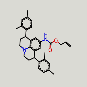 C=CCOC(=O)Nc1cc2c3c(c1)C(c1ccc(C)cc1C)CCN3CCC2c1ccc(C)cc1C